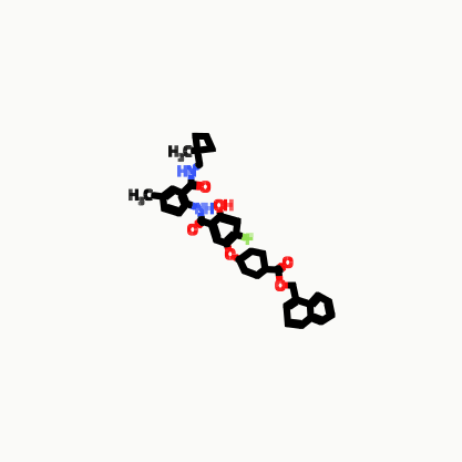 Cc1ccc(NC(=O)c2cc(OC3CCC(C(=O)OCc4cccc5ccccc45)CC3)c(F)cc2O)c(C(=O)NCC2(C)CCC2)c1